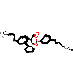 CCCCCc1ccc([C@H]2OC[C@H](c3ccc(CCCC)cc3C3CCCCC3)CO2)cc1